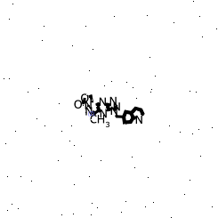 C/C(=N/N1CCOC1=O)c1cnc2nnn(Cc3ccc4ncccc4c3)c2n1